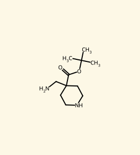 CC(C)(C)OC(=O)C1(CN)CCNCC1